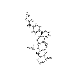 COC(=O)[C@H](COC(C)=O)NC(=O)[C@H](COC(C)=O)N1Cc2c(cccc2-c2ccc(NC(=O)OC(C)(C)C)cc2)C1=O